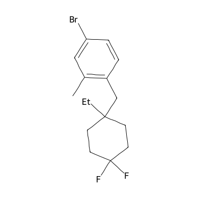 CCC1(Cc2ccc(Br)cc2C)CCC(F)(F)CC1